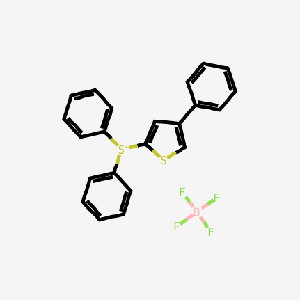 F[B-](F)(F)F.c1ccc(-c2csc([S+](c3ccccc3)c3ccccc3)c2)cc1